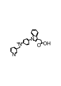 CN(Cc1cccnc1)c1ccc(-n2cc(CC(=O)O)c3ccccc32)cc1